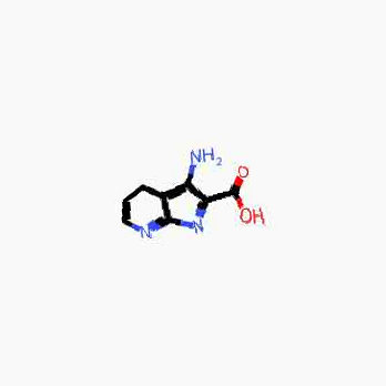 NC1=C2CC=CN=C2N=C1C(=O)O